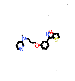 CN(CCCOc1cccc(-c2noc3ccsc23)c1)c1cccnc1